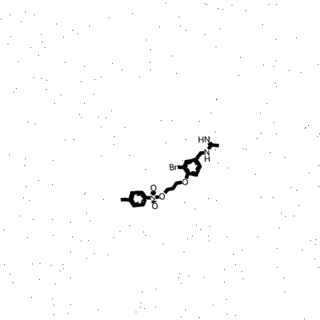 CC(=N)NCc1ccc(OCCCOS(=O)(=O)c2ccc(C)cc2)c(Br)c1